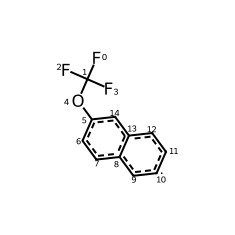 FC(F)(F)Oc1ccc2c[c]ccc2c1